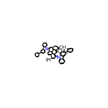 CC(C)c1cc(-n2c3ccccc3c3cc(-c4ccccc4)ccc32)c2cc3c4c(cc(-n5c6ccccc6c6cc(-c7ccccc7)ccc65)c5ccc1c2c54)CCC3(C)C